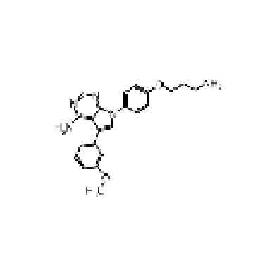 COc1cccc(-c2cn(-c3ccc(OCCCN)cc3)c3ncnc(N)c23)c1